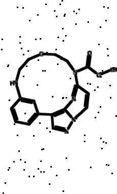 CC(C)(C)OC(=O)N1CCOCCNc2cccc(c2)-c2cnn3ccc1nc23